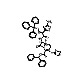 Nc1nc(C(=NOC(c2ccccc2)(c2ccccc2)c2ccccc2)C(=O)N[C@@H]2C(=O)N3C(C(=O)OC(c4ccccc4)c4ccccc4)=C(Sc4nncs4)CC[C@H]23)ns1